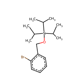 CC(C)[Si](OCc1ccccc1Br)(C(C)C)C(C)C